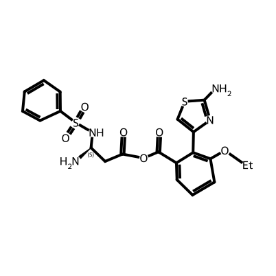 CCOc1cccc(C(=O)OC(=O)C[C@@H](N)NS(=O)(=O)c2ccccc2)c1-c1csc(N)n1